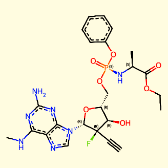 C#C[C@@]1(F)[C@H](O)[C@@H](CO[P@@](=O)(N[C@@H](C)C(=O)OCC)Oc2ccccc2)O[C@H]1n1cnc2c(NC)nc(N)nc21